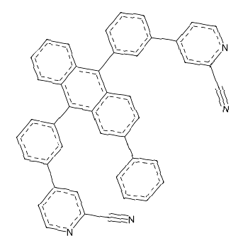 N#Cc1cc(-c2cccc(-c3c4ccccc4c(-c4cccc(-c5ccnc(C#N)c5)c4)c4cc(-c5ccccc5)ccc34)c2)ccn1